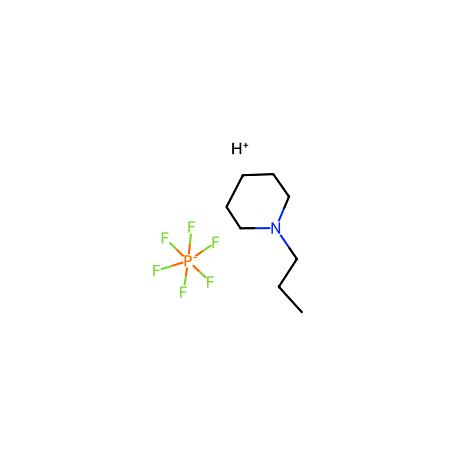 CCCN1CCCCC1.F[P-](F)(F)(F)(F)F.[H+]